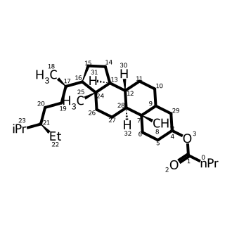 CCCC(=O)OC1CC[C@@]2(C)C(CC[C@H]3[C@@H]4CC[C@H]([C@H](C)CC[C@@H](CC)C(C)C)[C@@]4(C)CC[C@@H]32)C1